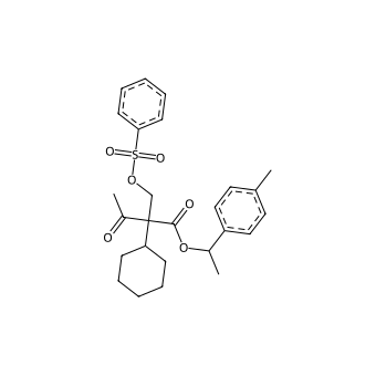 CC(=O)C(COS(=O)(=O)c1ccccc1)(C(=O)OC(C)c1ccc(C)cc1)C1CCCCC1